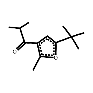 Cc1oc(C(C)(C)C)cc1C(=O)C(C)C